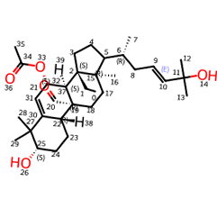 CC[C@@]12CCC([C@H](C)C/C=C/C(C)(C)O)[C@@]1(C)CC[C@@]1(C=O)[C@@H]3CC[C@H](O)C(C)(C)C3=C[C@H](OC(C)=O)[C@H]12